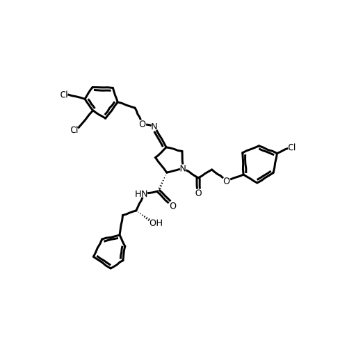 O=C(N[C@H](O)Cc1ccccc1)[C@@H]1C/C(=N\OCc2ccc(Cl)c(Cl)c2)CN1C(=O)COc1ccc(Cl)cc1